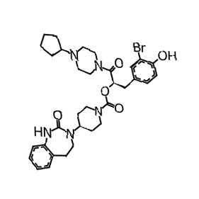 O=C(O[C@H](Cc1ccc(O)c(Br)c1)C(=O)N1CCN(C2CCCC2)CC1)N1CCC(N2CCc3ccccc3NC2=O)CC1